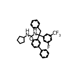 O=C(NC1CCCC1)NC(Cc1ccccc1)(c1cccc(-c2ccccc2)c1)c1cc(F)cc(C(F)(F)F)c1